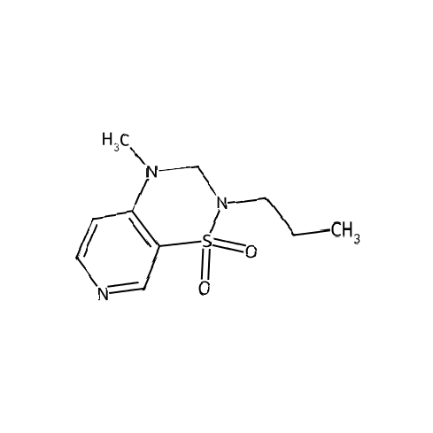 CCCN1CN(C)c2ccncc2S1(=O)=O